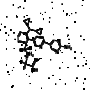 Nc1ncc(-c2ccc(-c3c(C(C4CC4)C4CC4)cccc3S(N)(=O)=O)cn2)cn1.O=C(O)C(F)(F)F